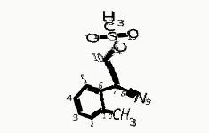 Cc1ccccc1/C(C#N)=C/OS(C)(=O)=O